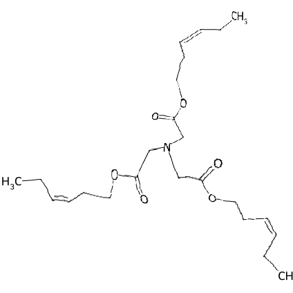 CC/C=C\CCOC(=O)CN(CC(=O)OCC/C=C\CC)CC(=O)OCC/C=C\CC